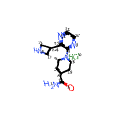 Cl.NC(=O)C1CCN(c2nccnc2C2CNC2)CC1